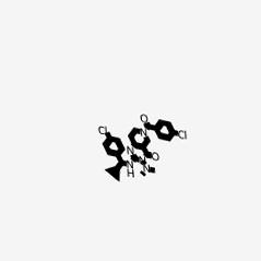 CN(C)n1c(NC(c2ccc(Cl)cc2)C2CC2)nc2c(c1=O)CN(C(=O)c1ccc(Cl)cc1)CC2